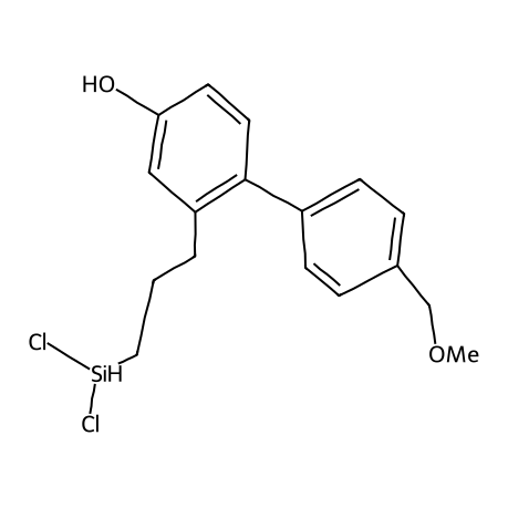 COCc1ccc(-c2ccc(O)cc2CCC[SiH](Cl)Cl)cc1